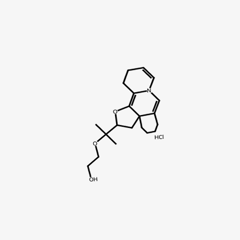 CC(C)(OCCO)C1CC23CCCCC2=CN2C=CCCC2=C3O1.Cl